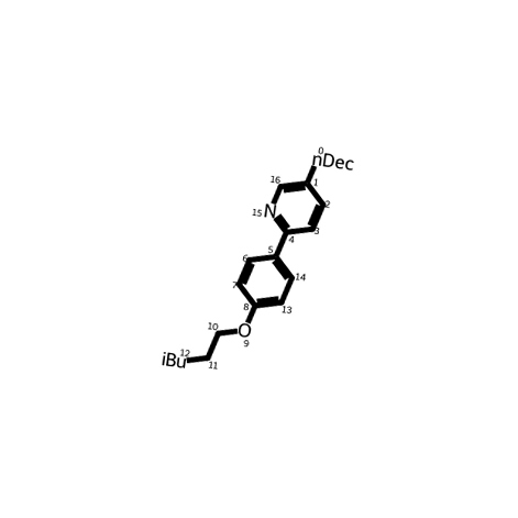 CCCCCCCCCCc1ccc(-c2ccc(OCCC(C)CC)cc2)nc1